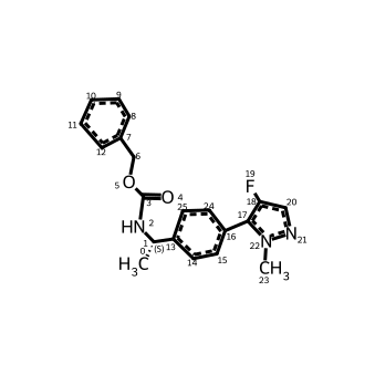 C[C@H](NC(=O)OCc1ccccc1)c1ccc(-c2c(F)cnn2C)cc1